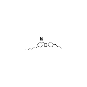 CCCCCC[C@H]1CC[C@@](C#N)(CO[C@H]2CC[C@H](CCCC)CC2)CC1